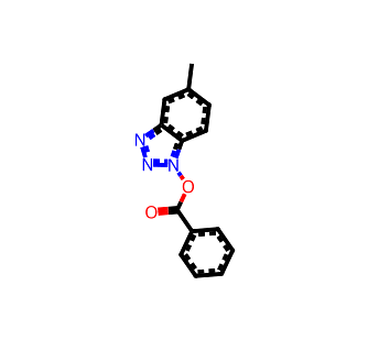 Cc1ccc2c(c1)nnn2OC(=O)c1ccccc1